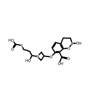 O=C(O)SCCC(O)N1CC(Oc2ccc3c(c2C(=O)O)OB(O)CC3)C1